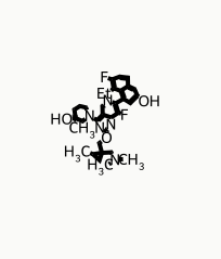 CCc1c(F)ccc2cc(O)cc(-c3ncc4c(N5CCC[C@@](C)(O)C5)nc(OCC5(CN(C)C)CC5C)nc4c3F)c12